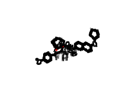 COc1ccc(C(F)(F)[C@@H](NS(=O)(=O)c2ccc3cc(OC4CCCC4)ccc3c2)C(=O)N2C3CCC2CC(N)C3)cc1